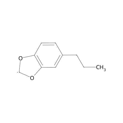 CCCc1ccc2c(c1)O[CH]O2